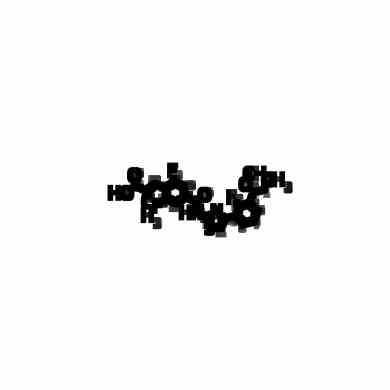 CCC(OC)c1cccc(-c2csc(NC(=O)c3cc(F)c(C=C(C)C(=O)O)c(F)c3)n2)c1F